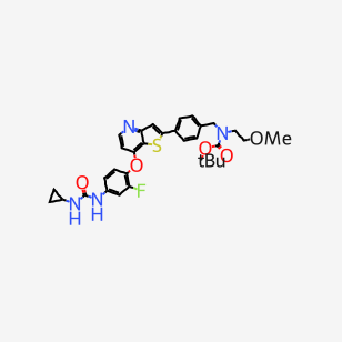 COCCN(Cc1ccc(-c2cc3nccc(Oc4ccc(NC(=O)NC5CC5)cc4F)c3s2)cc1)C(=O)OC(C)(C)C